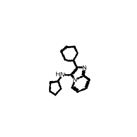 c1ccn2c(NC3CCCC3)c(C3CCCCC3)nc2c1